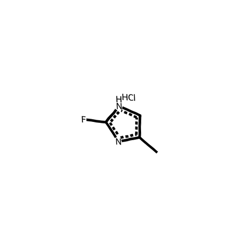 Cc1c[nH]c(F)n1.Cl